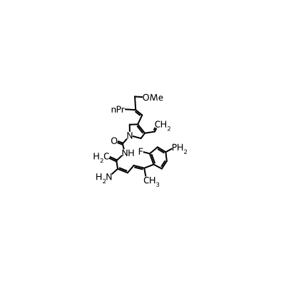 C=CC1=C(/C=C(\CCC)COC)CN(C(=O)NC(=C)/C(N)=C\C=C(/C)c2ccc(P)cc2F)C1